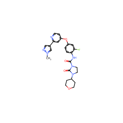 Cn1cc(-c2cc(Oc3ccc(NC(=O)N4CCN(C5CCOCC5)C4=O)c(F)c3)ccn2)cn1